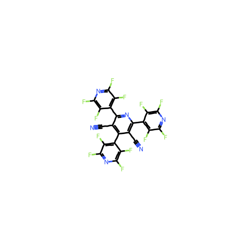 N#Cc1c(-c2c(F)c(F)nc(F)c2F)nc(-c2c(F)c(F)nc(F)c2F)c(C#N)c1-c1c(F)c(F)nc(F)c1F